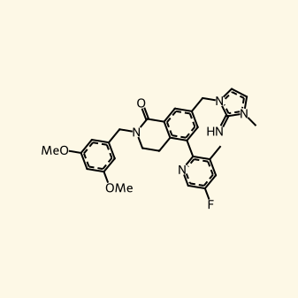 COc1cc(CN2CCc3c(cc(Cn4ccn(C)c4=N)cc3-c3ncc(F)cc3C)C2=O)cc(OC)c1